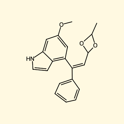 COc1cc(/C(=C\C2OC(C)O2)c2ccccc2)c2cc[nH]c2c1